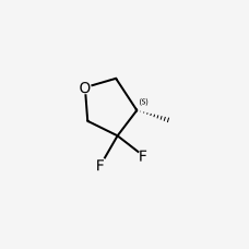 C[C@H]1COCC1(F)F